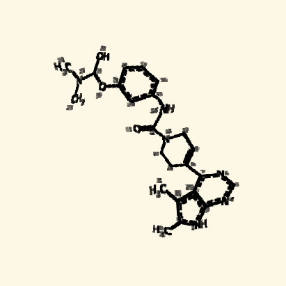 Cc1[nH]c2ncnc(C3=CCN(C(=O)Nc4cccc(OC(O)N(C)C)c4)CC3)c2c1C